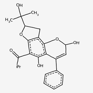 CC(C)C(=O)c1c(O)c2c(c3c1OC(C(C)(C)O)C3)OC(O)C=C2c1ccccc1